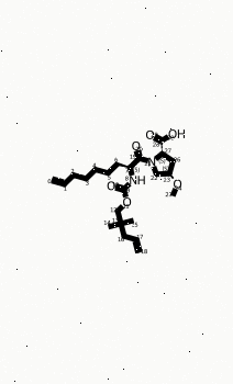 C=CCCCCC[C@H](NC(=O)OCC(C)(C)CC=C)C(=O)N1C[C@@H](OC)C[C@H]1C(=O)O